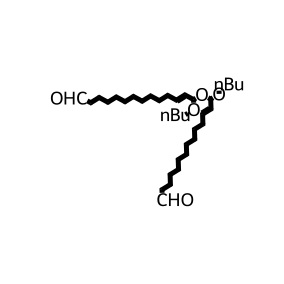 CCCCOC(C=CCCCCCCCCCCC=O)OC(C=CCCCCCCCCCCC=O)OCCCC